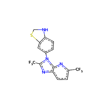 FC(F)(F)c1ccc2nc(C(F)(F)F)n(-c3ccc4c(c3)SCN4)c2n1